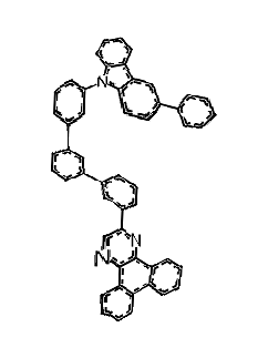 c1ccc(-c2ccc3c(c2)c2ccccc2n3-c2cccc(-c3cccc(-c4cccc(-c5cnc6c7ccccc7c7ccccc7c6n5)c4)c3)c2)cc1